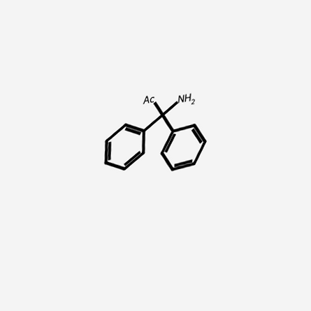 CC(=O)C(N)(c1ccccc1)c1ccccc1